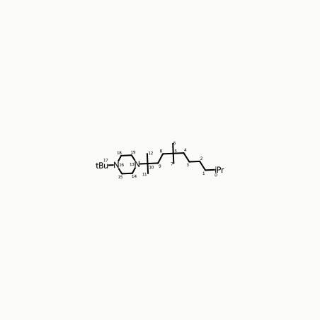 CC(C)CCCCC(C)(C)CCC(C)(C)N1CCN(C(C)(C)C)CC1